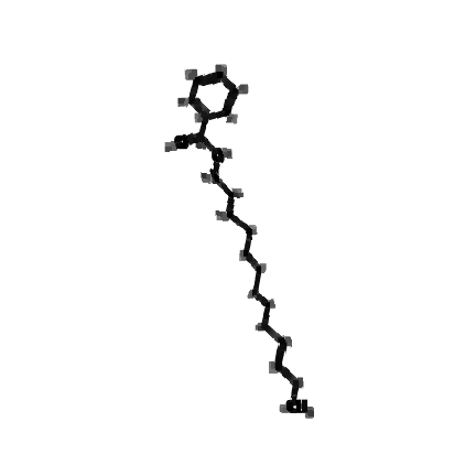 CCCCCCCCCCCCSOC(=O)c1ccccc1